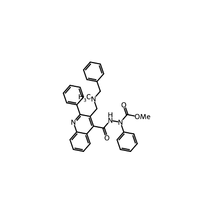 COC(=O)N(NC(=O)c1c(CN(C)Cc2ccccc2)c(-c2ccccc2)nc2ccccc12)c1ccccc1